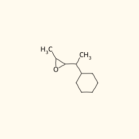 CC1OC1C(C)C1CCCCC1